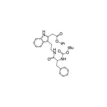 CC(C)OC(=O)Cc1[nH]c2ccccc2c1CCNC(=O)C(Cc1ccccc1)NC(=O)OC(C)(C)C